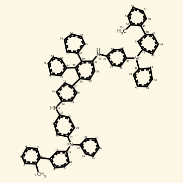 Cc1ccccc1-c1cccc(N(c2ccccc2)c2ccc(Nc3ccc(-c4ccc(Nc5ccc(N(c6ccccc6)c6cccc(-c7ccccc7C)c6)cc5)c(-c5ccccc5)c4-c4ccccc4)cc3)cc2)c1